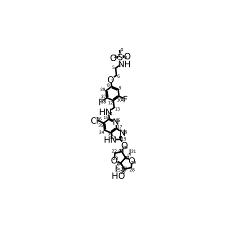 CS(=O)(=O)NCCOc1cc(F)c(CNc2nc3nc(O[C@@H]4CO[C@]5(I)[C@H](O)CO[C@]45I)[nH]c3cc2Cl)c(F)c1